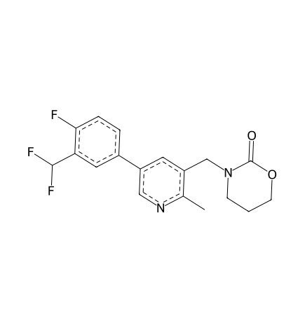 Cc1ncc(-c2ccc(F)c(C(F)F)c2)cc1CN1CCCOC1=O